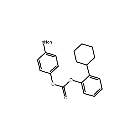 CCCCCCCCCc1ccc(OC(=O)Oc2ccccc2C2CCCCC2)cc1